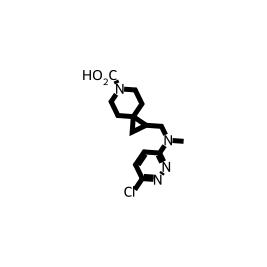 CN(CC1CC12CCN(C(=O)O)CC2)c1ccc(Cl)nn1